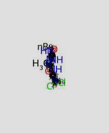 CCCCC(=O)Nc1ccc2[nH]c(-c3cc(NC(=O)c4ccc(N(CCCl)CCCl)cc4)cn3C)nc2c1